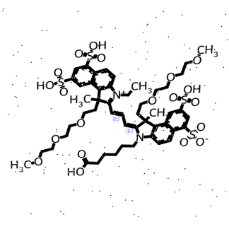 CC[N+]1=C(/C=C/C=C2/N(CCCCCC(=O)O)c3ccc4c(S(=O)(=O)[O-])cc(S(=O)(=O)O)cc4c3C2(C)CCOCCOCCOC)C(C)(CCOCCOCCOC)c2c1ccc1c(S(=O)(=O)O)cc(S(=O)(=O)O)cc21